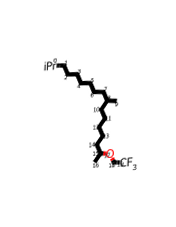 CC(C)CCCCCCCC(C)CCCCCC(C)OCC(F)(F)F